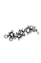 CC1(N)CCN(c2cnc3nc(Oc4cccc(Cl)c4Cl)ccc3n2)CC1